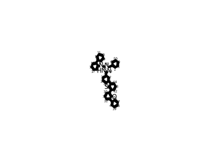 c1ccc(C2=NC(n3c4ccccc4c4ccccc43)NC(c3ccc4sc5c(-c6cccc7c6oc6ccccc67)cccc5c4c3)=N2)cc1